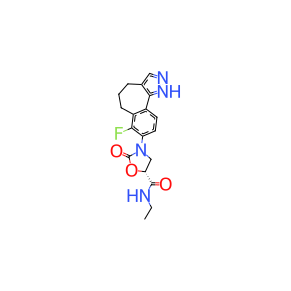 CCNC(=O)[C@H]1CN(c2ccc3c(c2F)CCCc2cn[nH]c2-3)C(=O)O1